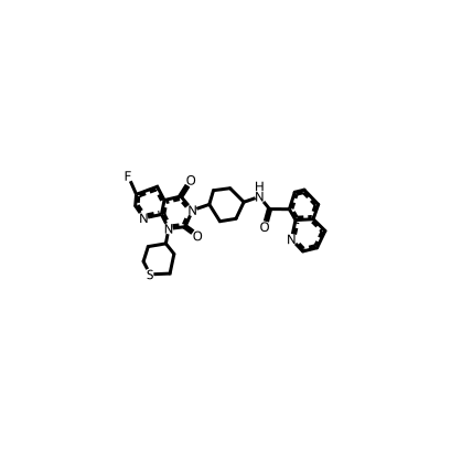 O=C(NC1CCC(n2c(=O)c3cc(F)cnc3n(C3CCSCC3)c2=O)CC1)c1cccc2cccnc12